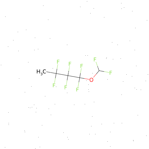 CC(F)(F)C(F)(F)C(F)(F)OC(F)F